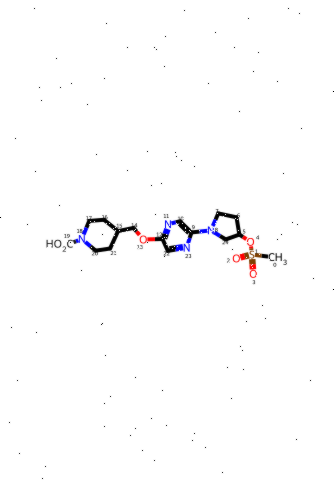 CS(=O)(=O)OC1CCN(c2cnc(OCC3CCN(C(=O)O)CC3)cn2)C1